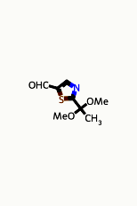 COC(C)(OC)c1ncc(C=O)s1